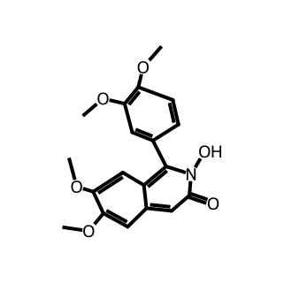 COc1ccc(-c2c3cc(OC)c(OC)cc3cc(=O)n2O)cc1OC